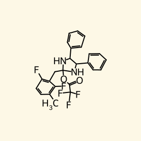 Cc1ccc(F)c(CC2(OC(=O)C(F)(F)F)NC(c3ccccc3)C(c3ccccc3)N2)c1F